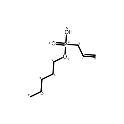 C=CCP(=O)(O)OCCCCC